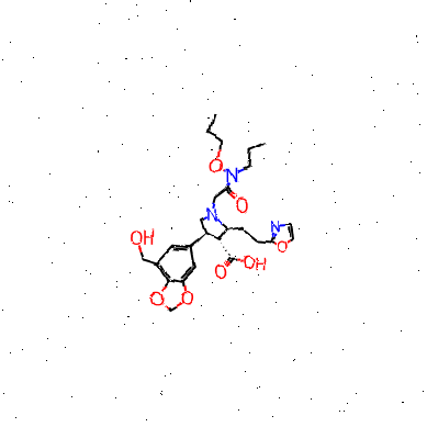 CCCON(CCC)C(=O)CN1C[C@H](c2cc(CO)c3c(c2)OCO3)[C@@H](C(=O)O)[C@@H]1CCc1ncco1